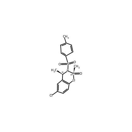 Cc1ccc(S(=O)(=O)N2[C@H](C)c3cc(Cl)ccc3O[P@@]2(C)=O)cc1